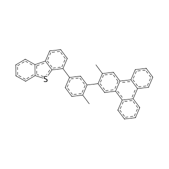 Cc1ccc(-c2cccc3c2sc2ccccc23)cc1-c1cc2c3ccccc3c3ccccc3c2cc1C